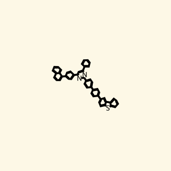 c1ccc(-c2cc(-c3ccc(-c4cccc5ccccc45)cc3)nc(-c3ccc(-c4ccc(-c5ccc6sc7ccccc7c6c5)cc4)cc3)n2)cc1